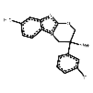 CNC1(c2cccc(F)c2)COc2nc3cc(C)ccc3n2C1